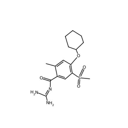 Cc1cc(OC2CCCCC2)c(S(C)(=O)=O)cc1C(=O)N=C(N)N